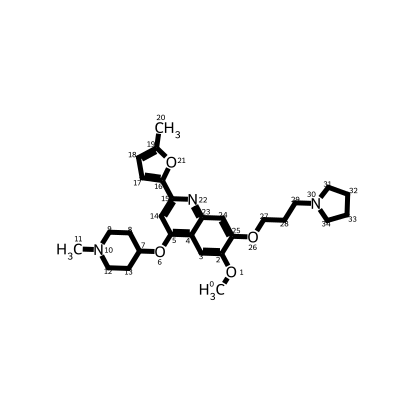 COc1cc2c(OC3CCN(C)CC3)cc(-c3ccc(C)o3)nc2cc1OCCCN1CCCC1